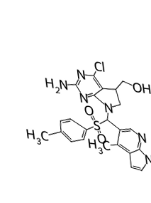 Cc1ccc(S(=O)(=O)C(c2cnc3[nH]ccc3c2C)N2CC(CO)c3c(Cl)nc(N)nc32)cc1